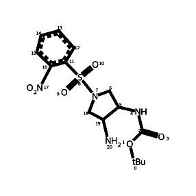 CC(C)(C)OC(=O)NC1CN(S(=O)(=O)c2ccccc2[N+](=O)[O-])CC1N